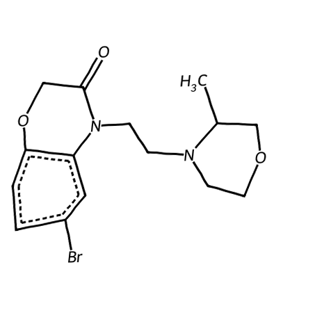 CC1COCCN1CCN1C(=O)COc2ccc(Br)cc21